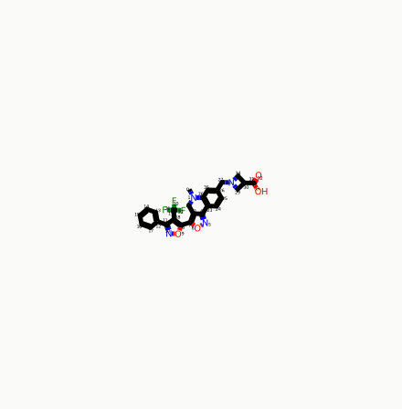 CN1Cc2c(noc2-c2onc(-c3ccccc3)c2C(F)(F)F)-c2ccc(CN3CC(C(=O)O)C3)cc21